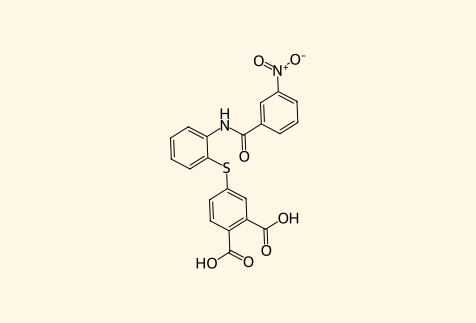 O=C(Nc1ccccc1Sc1ccc(C(=O)O)c(C(=O)O)c1)c1cccc([N+](=O)[O-])c1